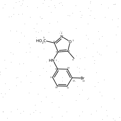 Cc1onc(C(=O)O)c1Nc1cccc(Br)c1